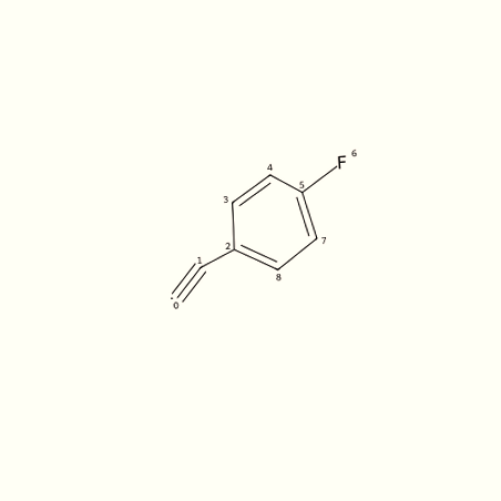 [C]#Cc1ccc(F)cc1